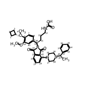 C1CCC1.COc1ccc([C@@H](CCCNC(=O)O)N2C(=O)c3cccc(N4CCN([C@H](C)c5ccccc5)CC4)c3C2=O)cc1OC